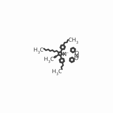 CC#CC1=C(c2ccc(CCCC)cc2)[N+](=[N-])C(c2ccc(CCCC)cc2)=C1CCCCCCCC.c1ccc([O][Ni][O]c2ccccc2)cc1